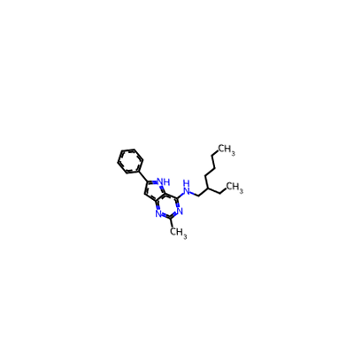 CCCCC(CC)CNc1nc(C)nc2cc(-c3ccccc3)[nH]c12